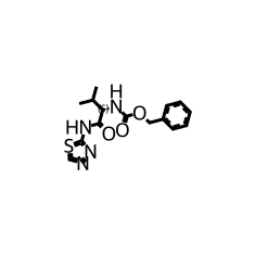 CC(C)[C@H](NC(=O)OCc1ccccc1)C(=O)Nc1nncs1